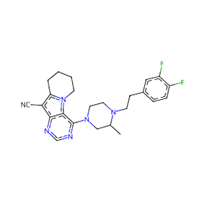 CC1CN(c2ncnc3c(C#N)c4n(c23)CCCC4)CCN1CCc1ccc(F)c(F)c1